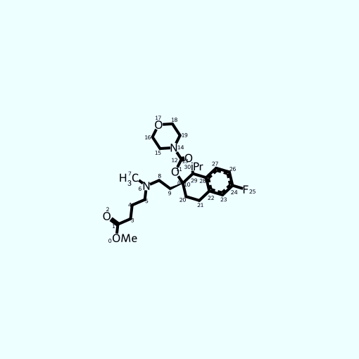 COC(=O)CCCN(C)CC[C@]1(OC(=O)N2CCOCC2)CCc2cc(F)ccc2C1C(C)C